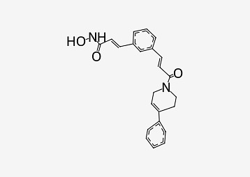 O=C(C=Cc1cccc(C=CC(=O)N2CC=C(c3ccccc3)CC2)c1)NO